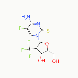 Nc1nc(=S)n([C@@H]2O[C@H](CO)[C@H](O)C2C(F)(F)F)cc1F